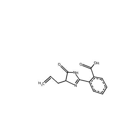 C=CCC1N=C(c2ccccc2C(=O)O)NC1=O